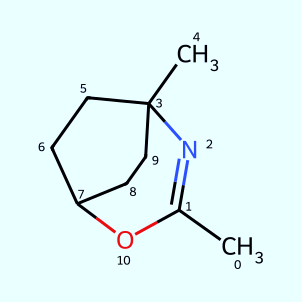 CC1=NC2(C)CCC(CC2)O1